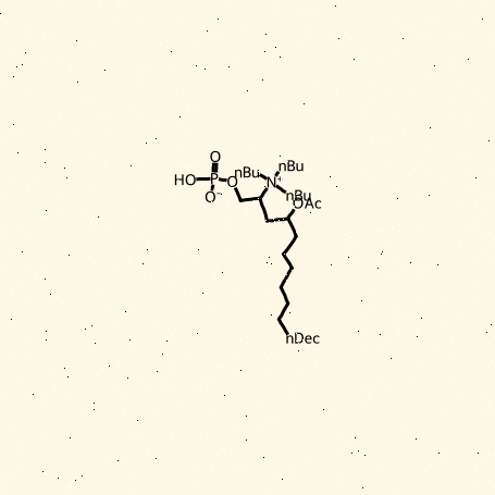 CCCCCCCCCCCCCCCCC(CC(COP(=O)([O-])O)[N+](CCCC)(CCCC)CCCC)OC(C)=O